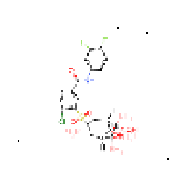 BC1(B)[C@H]2C[C@](B)(S(=O)(=O)c3cc(C(=O)Nc4ccc(F)c(F)c4)ccc3Cl)C[C@@H](C1(B)B)[C@]2(O)CO